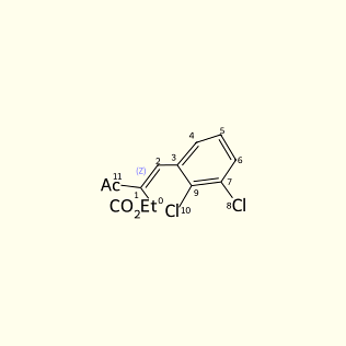 CCOC(=O)/C(=C\c1cccc(Cl)c1Cl)C(C)=O